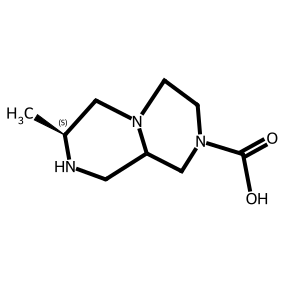 C[C@H]1CN2CCN(C(=O)O)CC2CN1